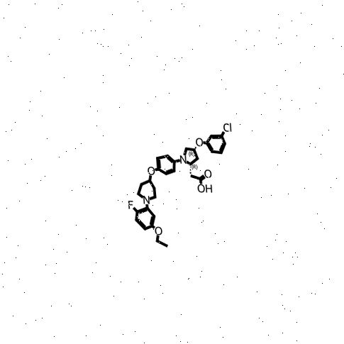 CCOc1ccc(F)c(N2CCC(Oc3ccc(N4C[C@H](Oc5cccc(Cl)c5)C[C@@H]4CC(=O)O)cc3)CC2)c1